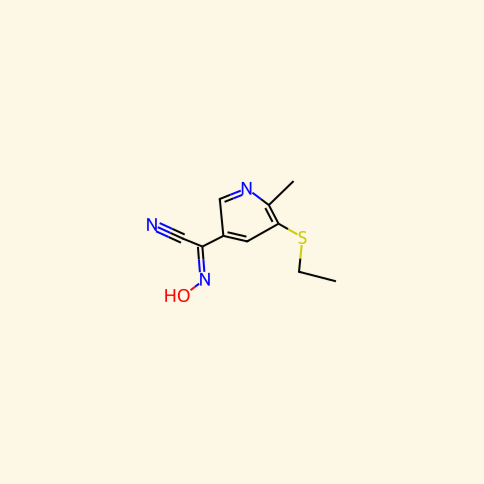 CCSc1cc(/C(C#N)=N/O)cnc1C